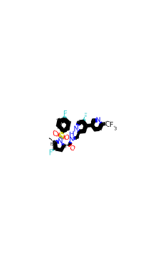 C[C@H]1[C@H](F)C[C@@H](C(=O)NCc2cc(-c3ccc(C(F)(F)F)nc3)c(F)cn2)N1S(=O)(=O)c1ccc(F)cc1